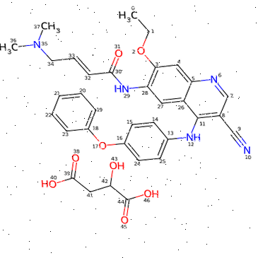 CCOc1cc2ncc(C#N)c(Nc3ccc(Oc4ccccc4)cc3)c2cc1NC(=O)/C=C/CN(C)C.O=C(O)CC(O)C(=O)O